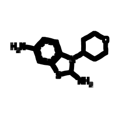 Nc1ccc2c(c1)SC(N)N2C1CCOCC1